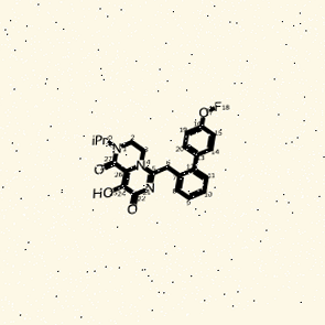 CC(C)N1CCn2c(Cc3ccccc3-c3ccc(OF)cc3)nc(=O)c(O)c2C1=O